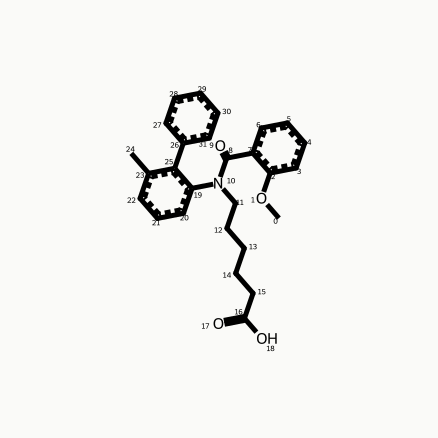 COc1ccccc1C(=O)N(CCCCCC(=O)O)c1cccc(C)c1-c1ccccc1